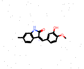 COc1ccc(/C=C2\C(=O)Nc3cc(C)ccc32)cc1O